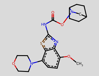 COc1ccc(N2CCOCC2)c2sc(NC(=O)ON3CC4CCC3CC4)nc12